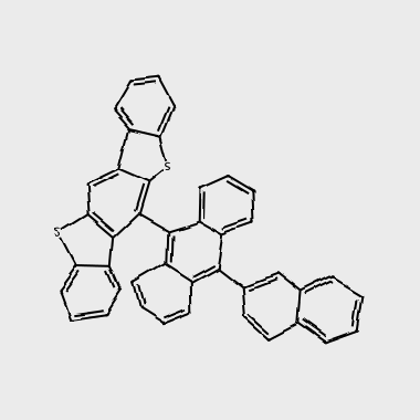 c1ccc2cc(-c3c4ccccc4c(-c4c5sc6ccccc6c5cc5sc6ccccc6c45)c4ccccc34)ccc2c1